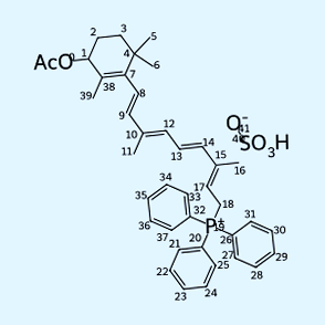 CC(=O)OC1CCC(C)(C)C(C=CC(C)=CC=CC(C)=CC[P+](c2ccccc2)(c2ccccc2)c2ccccc2)=C1C.O=S(=O)([O-])O